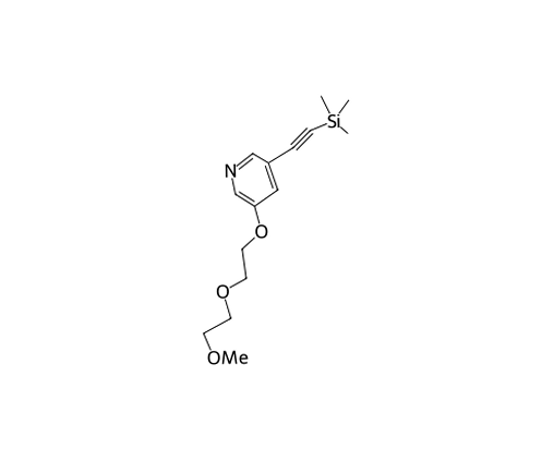 COCCOCCOc1cncc(C#C[Si](C)(C)C)c1